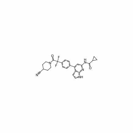 N#CC1CCN(C(=O)C(F)(F)c2ccc(-c3cc(NC(=O)C4CC4)nc4[nH]ccc34)cc2)CC1